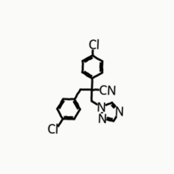 N#CC(Cc1ccc(Cl)cc1)(Cn1cncn1)c1ccc(Cl)cc1